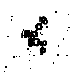 O=C(CC1(c2ccc(-c3ccc(-c4ncco4)cc3)s2)CCN(C(=O)c2ccsc2)CCS1(=O)=O)NO